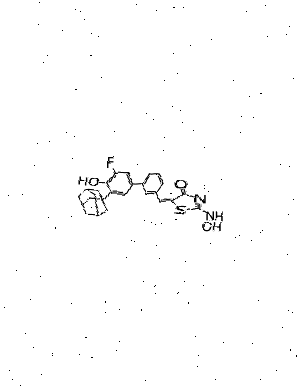 O=C1N=C(NO)S/C1=C/c1cccc(-c2cc(F)c(O)c(C34CC5CC(CC(C5)C3)C4)c2)c1